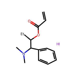 C=CC(=O)OC(CC)C(c1ccccc1)N(C)C.I